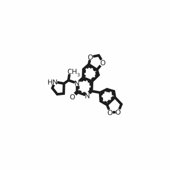 CC(C1CCCN1)n1c(=O)nc(-c2ccc3c(c2)OOC3)c2cc3c(cc21)OCO3